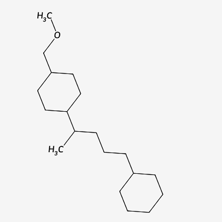 COCC1CCC(C(C)CCCC2CCCCC2)CC1